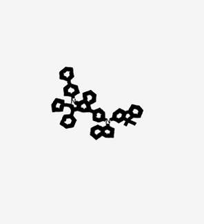 CC1(C)c2ccccc2-c2ccc(N(c3ccc(-c4cc5c(-c6ccccc6)c(-c6ccccc6)n(-c6ccc(-c7ccccc7)cc6)c5c5ccccc45)cc3)c3cccc4ccccc34)cc21